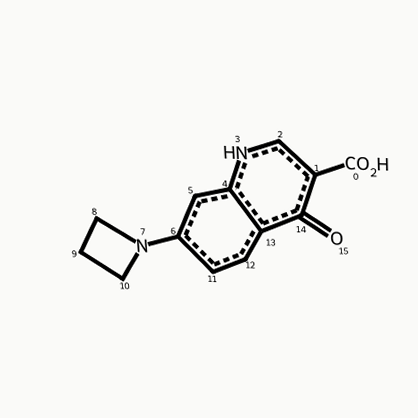 O=C(O)c1c[nH]c2cc(N3CCC3)ccc2c1=O